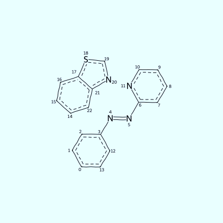 c1ccc(N=Nc2ccccn2)cc1.c1ccc2scnc2c1